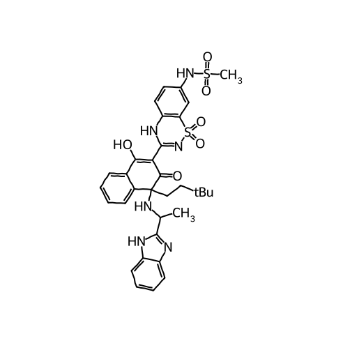 CC(NC1(CCC(C)(C)C)C(=O)C(C2=NS(=O)(=O)c3cc(NS(C)(=O)=O)ccc3N2)=C(O)c2ccccc21)c1nc2ccccc2[nH]1